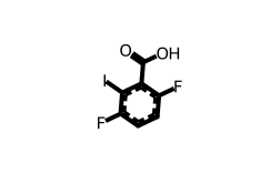 O=C(O)c1c(F)ccc(F)c1I